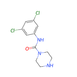 O=C(Nc1cc(Cl)cc(Cl)c1)N1CCNCC1